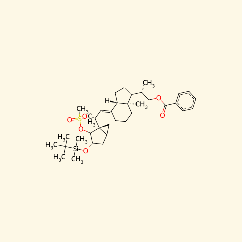 C[C@H](COC(=O)c1ccccc1)[C@H]1CC[C@H]2/C(=C/[C@@H](C)[C@]34CC3C[C@H](O[Si](C)(C)C(C)(C)C)C4OS(C)(=O)=O)CCC[C@]12C